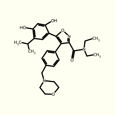 CCN(CC)C(=O)c1noc(-c2cc(C(C)C)c(O)cc2O)c1-c1ccc(CN2CCOCC2)cc1